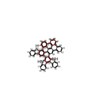 c1ccc(-c2cccc(-c3cccc4c3[nH]c3ccccc34)c2-c2c(-c3cccc4c3[nH]c3ccccc34)cc3c4ccccc4c4ccccc4c3c2-c2c(-c3ccccc3)cccc2-c2cccc3c2[nH]c2ccccc23)cc1